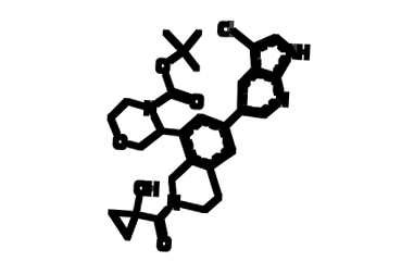 CC(C)(C)OC(=O)N1CCOCC1c1cc(-c2cnc3[nH]cc(Cl)c3c2)cc2c1CN(C(=O)C1(O)CC1)CC2